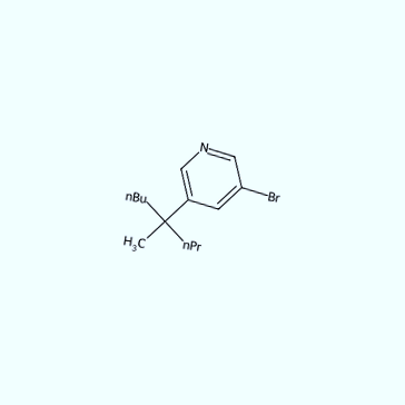 CCCCC(C)(CCC)c1cncc(Br)c1